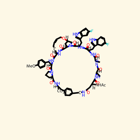 COc1ccc(C[C@@H]2NC(=O)[C@@H]3CC/C=C\CO[C@H]4C[C@@H](C(=O)N3)N(C4)C(=O)[C@H](Cc3c[nH]c4ccc(F)cc34)NC(=O)[C@H](Cc3c[nH]c4ccc(F)cc34)NC(=O)[C@@H](C)NC(=O)[C@@H](C)NC(=O)[C@@H](NC(C)=O)CC(=O)NCc3ccc(cc3)C[C@@H](C(=O)O)NC(=O)[C@]3(C)CCCN3C2=O)cc1